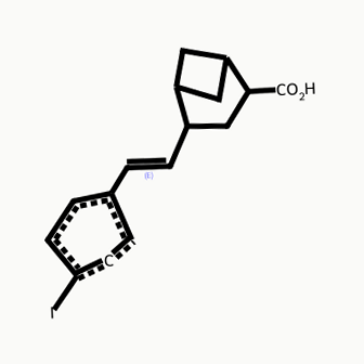 O=C(O)C1CC(/C=C/c2ccc(I)cc2)C2CC1C2